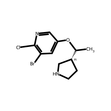 CC(Oc1cnc(Cl)c(Br)c1)[C@@H]1CCNC1